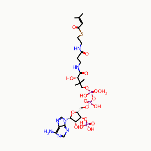 CC(C)=CC(=O)SCCNC(=O)CCNC(=O)[C@H](O)C(C)(C)COP(=O)(O)OP(=O)(O)OC[C@H]1O[C@@H](n2cnc3c(N)ncnc32)[C@H](O)[C@@H]1OP(=O)(O)O.O